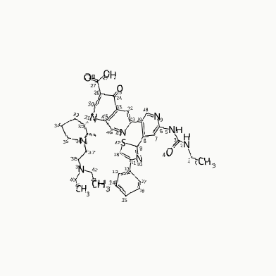 CCNC(=O)Nc1cc(-c2nc(-c3ccccc3)cs2)c(-c2cc3c(=O)c(C(=O)O)cn([C@H]4CCCN(CCN(CC)CC)C4)c3cn2)cn1